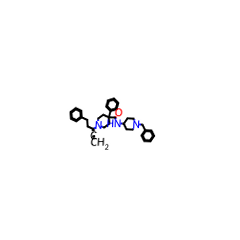 C=C=C(CCc1ccccc1)N1CCC(C(=O)NC2CCN(Cc3ccccc3)CC2)(c2ccccc2)CC1